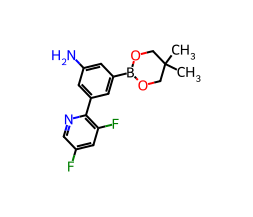 CC1(C)COB(c2cc(N)cc(-c3ncc(F)cc3F)c2)OC1